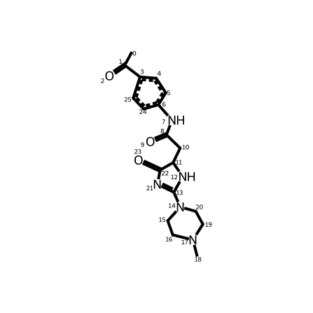 CC(=O)c1ccc(NC(=O)CC2NC(N3CCN(C)CC3)=NC2=O)cc1